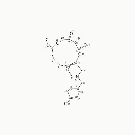 COC1CCCNC2(CCN(Cc3ccc(Cl)cc3)CC2)COC(=O)C(C)C(=O)CC1